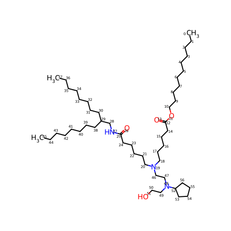 CCCCCCCCCCCOC(=O)CCCCCN(CCCCCC(=O)NCC(CCCCCCCC)CCCCCCCC)CCN(CCO)C1CCCC1